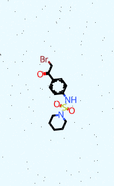 O=C(CBr)c1ccc(NS(=O)(=O)N2CCCCC2)cc1